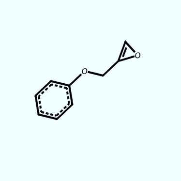 C1=C(COc2ccccc2)O1